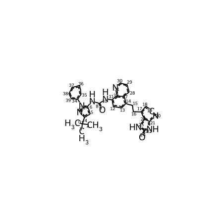 CC(C)(C)c1cc(NC(=O)Nc2ccc(CCc3ccnc4[nH]c(=O)[nH]c34)c3cccnc23)n(-c2ccccc2)n1